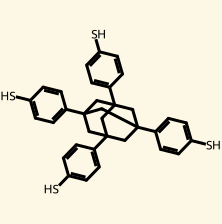 Sc1ccc(C23CC4(c5ccc(S)cc5)CC(c5ccc(S)cc5)(C2)CC(c2ccc(S)cc2)(C3)C4)cc1